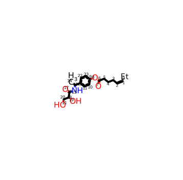 CC/C=C\CCCC(=O)Oc1ccc(C(C)NC(=O)C(O)CO)cc1